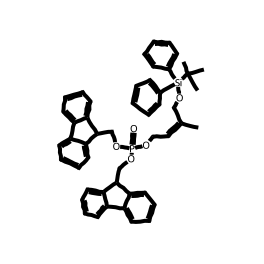 CC(=CCOP(=O)(OCC1c2ccccc2-c2ccccc21)OCC1c2ccccc2-c2ccccc21)CO[Si](c1ccccc1)(c1ccccc1)C(C)(C)C